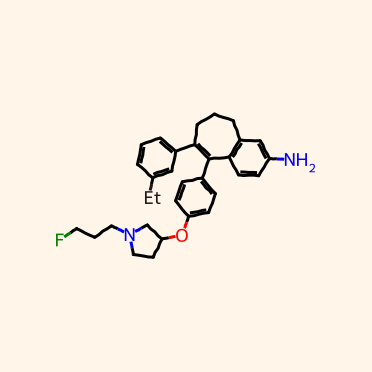 CCc1cccc(C2=C(c3ccc(OC4CCN(CCCF)C4)cc3)c3ccc(N)cc3CCC2)c1